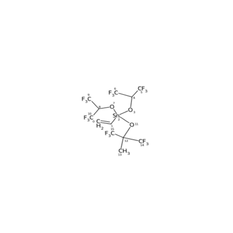 C=[CH][Sn]([O]C(C(F)(F)F)C(F)(F)F)([O]C(C(F)(F)F)C(F)(F)F)[O]C(C)(C(F)(F)F)C(F)(F)F